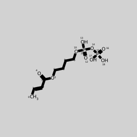 CC=CC(=O)OCCCCOP(=O)(O)OP(=O)(O)O